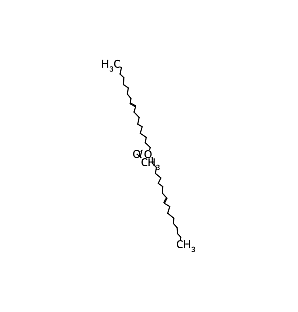 CC1CO1.CCCCCCCCC=CCCCCCCCCOCCCCCCCCC=CCCCCCCCC